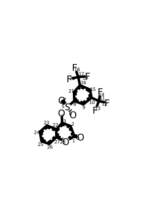 O=c1cc(OS(=O)(=O)c2cc(C(F)(F)F)cc(C(F)(F)F)c2)c2ccccc2o1